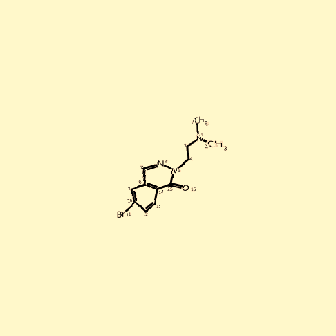 CN(C)CCn1ncc2cc(Br)ccc2c1=O